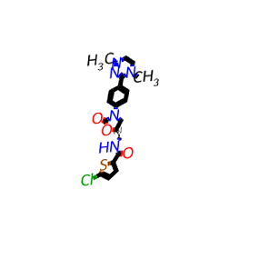 CN1CCN(C)C(c2ccc(N3C[C@H](CNC(=O)C4CC=C(Cl)S4)OC3=O)cc2)=N1